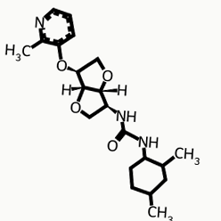 Cc1ncccc1O[C@H]1CO[C@H]2[C@@H]1OC[C@@H]2NC(=O)NC1CCC(C)CC1C